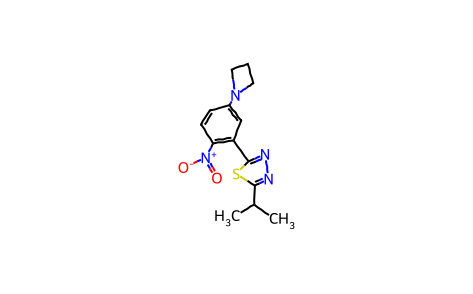 CC(C)c1nnc(-c2cc(N3CCC3)ccc2[N+](=O)[O-])s1